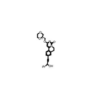 CC(C)C(O)C#Cc1ccc2c(c1)CCn1c-2cc(OC[C@@H]2COCCO2)nc1=O